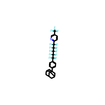 FC(F)(F)c1ccc(C(F)(F)C(F)(F)C(F)(F)C(F)(F)C(F)(F)c2ccc(C34CC5CC(CC(C5)C3)C4)cc2)nc1